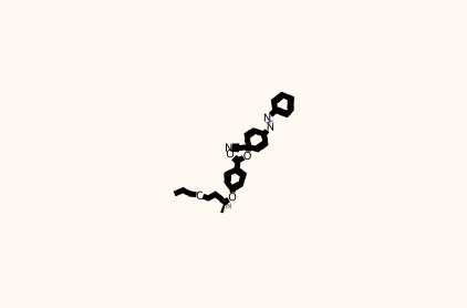 CCCCCC[C@H](C)Oc1ccc(C(=O)OC2(C#N)C=CC(/N=N/c3ccccc3)C=C2)cc1